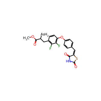 COC(=O)C([AsH2])Cc1ccc(Oc2ccc(C=C3SC(=O)NC3=O)cc2)c(F)c1F